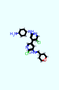 N[C@H]1CC[C@H](Nc2cc(-c3cnc(Cl)c(NCC4CCOCC4)c3)c(Cl)cn2)CC1